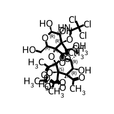 CC(=O)O[C@@]1(C(C)=O)[C@](O[C@]2(C(C)=O)[C@@H](CO)O[C@@H](O)[C@H](O)[C@]2(OC(=N)C(Cl)(Cl)Cl)C(C)=O)(C(C)=O)O[C@H](CO)[C@@H](O)[C@@]1(OC(C)=O)C(C)=O